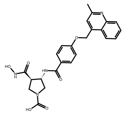 Cc1cc(COc2ccc(C(=O)N[C@@H]3CN(C(=O)O)C[C@H]3C(=O)NO)cc2)c2ccccc2n1